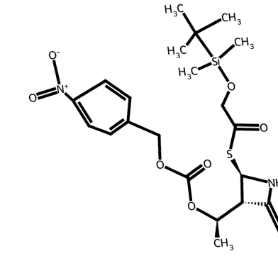 C[C@@H](OC(=O)OCc1ccc([N+](=O)[O-])cc1)[C@H]1C(=O)N[C@@H]1SC(=O)CO[Si](C)(C)C(C)(C)C